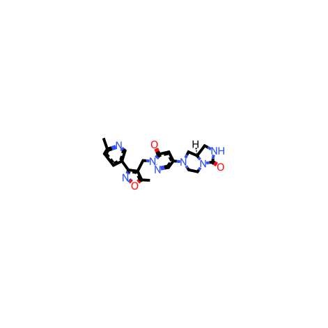 Cc1ccc(-c2noc(C)c2Cn2ncc(N3CCN4C(=O)NC[C@@H]4C3)cc2=O)cn1